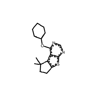 CC1(C)CCc2sc3ncnc(OC4CCCCC4)c3c21